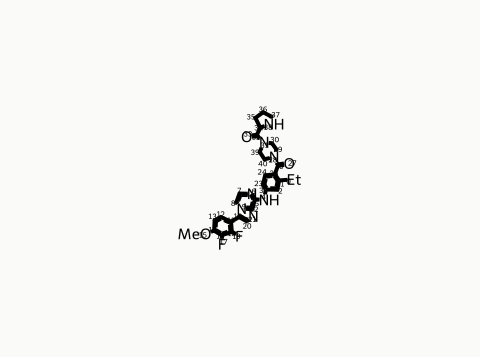 CCc1cc(Nc2nccn3c(-c4ccc(OC)c(F)c4F)cnc23)ccc1C(=O)N1CCN(C(=O)C2CCCN2)CC1